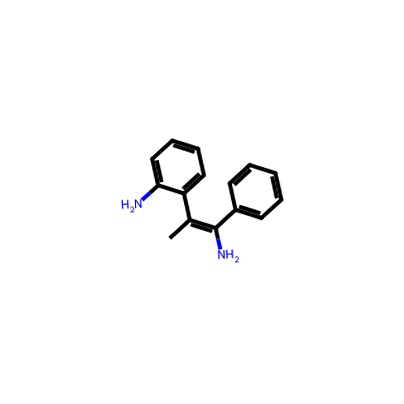 CC(=C(N)c1ccccc1)c1ccccc1N